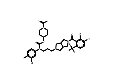 CC(=O)N1CCC(OC(=O)N(CCCN2CC3CN(C(=O)c4c(C(F)(F)F)ccc(Cl)c4F)CC3C2)c2ccc(C)c(Cl)c2)CC1